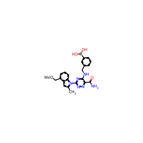 COCc1cccc2c1cc(C)n2-c1nnc(C(N)=O)c(NCc2cccc(B(O)O)c2)n1